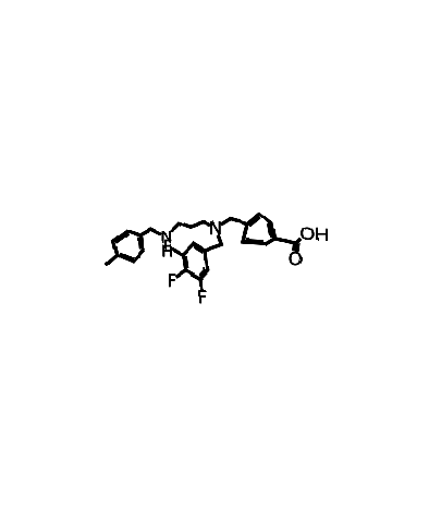 Cc1ccc(CNCCCN(Cc2ccc(C(=O)O)cc2)Cc2cc(F)c(F)c(F)c2)cc1